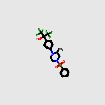 CC1CN(S(=O)(=O)c2ccccc2)CCN1c1ccc(C(O)(C(F)(F)F)C(F)(F)F)cc1